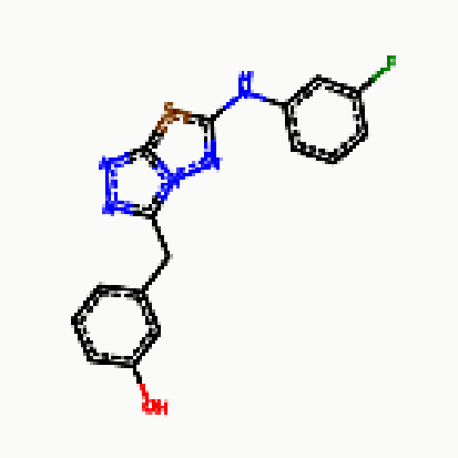 Oc1cccc(Cc2nnc3sc(Nc4cccc(F)c4)nn23)c1